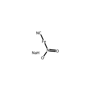 N#[C][Fe][N+](=O)[O-].[NaH]